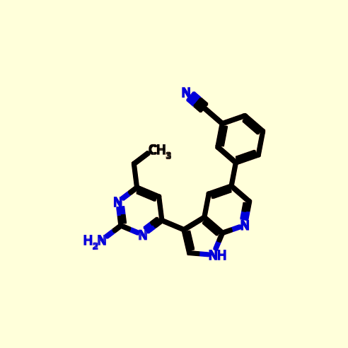 CCc1cc(-c2c[nH]c3ncc(-c4cccc(C#N)c4)cc23)nc(N)n1